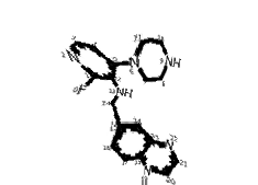 Fc1nccc(N2CCNCC2)c1NCc1ccc2nccnc2c1